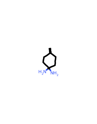 C=C1CCC(N)(N)CC1